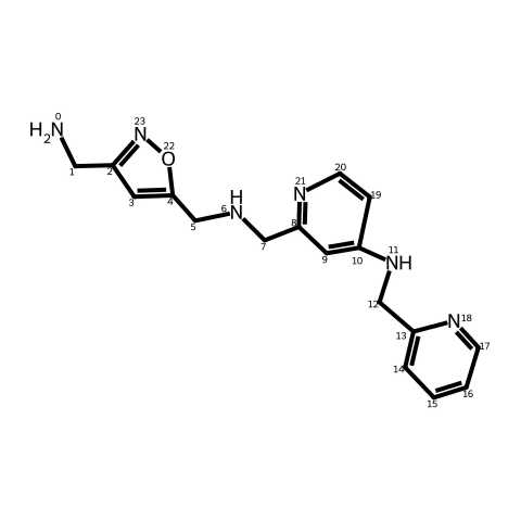 NCc1cc(CNCc2cc(NCc3ccccn3)ccn2)on1